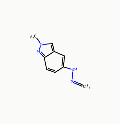 C=NNc1ccc2nn(C)cc2c1